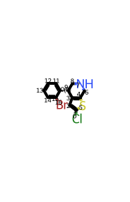 Clc1cc2c(s1)CNC[C@H]2c1ccccc1Br